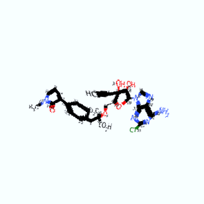 C#C[C@@]1(O)[C@@H](COC(Cc2ccc(-c3cccn(C)c3=O)cc2)(C(=O)O)C(=O)O)O[C@@H](n2cnc3c(N)nc(Cl)nc32)[C@@H]1O